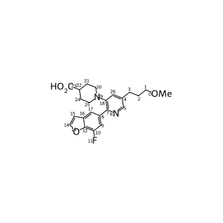 COCCCc1cnc(-c2cc(F)c3occc3c2)c(N2CCC(C(=O)O)CC2)c1